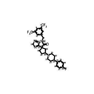 O=C(NCc1cc(C(F)(F)F)cc(C(F)(F)F)c1)C1(C2=NCN=N2)CCC(N2CCC(c3ccc(F)cc3)CC2)C1